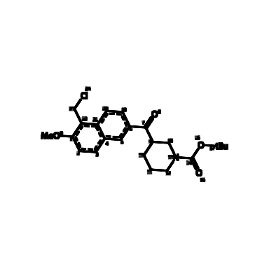 COc1ccc2cc(C(=O)C3CCCN(C(=O)OC(C)(C)C)C3)ccc2c1CCl